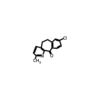 Cc1ccc2c(n1)C(=O)c1ccc(Cl)cc1CC2